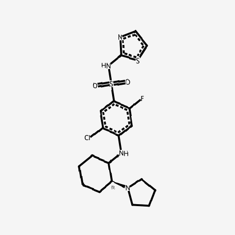 O=S(=O)(Nc1nccs1)c1cc(Cl)c(NC2CCCC[C@@H]2N2CCCC2)cc1F